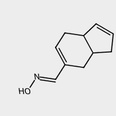 ON=CC1=CCC2C=CCC2C1